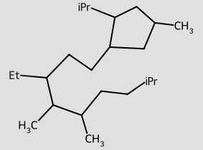 CCC(CCC1CC(C)CC1C(C)C)C(C)C(C)CCC(C)C